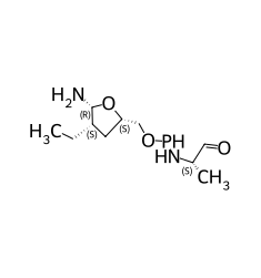 CC[C@H]1C[C@@H](COPN[C@@H](C)C=O)O[C@H]1N